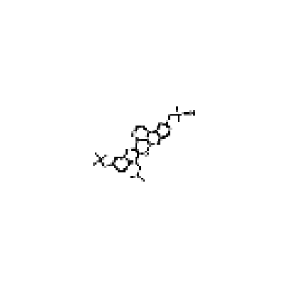 CC(C)Cc1c2c(cc3cc(CC(C)(C)C)ccc13)-c1nccc3c1c(cc1ccc(CC(C)(C)C#N)cc13)O2